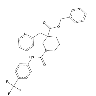 O=C(Nc1ccc(C(F)(F)F)cc1)N1CCCC(Cc2ccccn2)(C(=O)OCc2ccccc2)C1